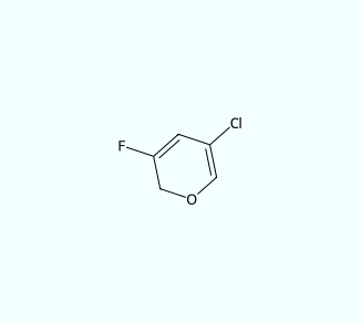 FC1=CC(Cl)=COC1